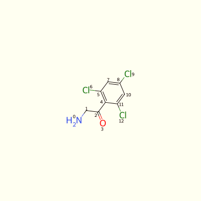 NCC(=O)c1c(Cl)cc(Cl)cc1Cl